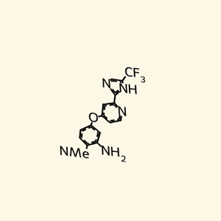 CNc1ccc(Oc2ccnc(-c3ncc(C(F)(F)F)[nH]3)c2)cc1N